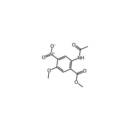 COC(=O)c1cc(OC)c([N+](=O)[O-])cc1NC(C)=O